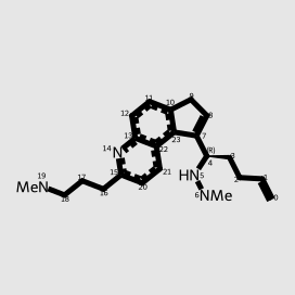 C=CCC[C@@H](NNC)C1=CCc2ccc3nc(CCCNC)ccc3c21